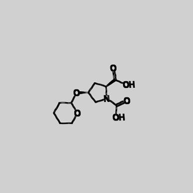 O=C(O)[C@@H]1C[C@H](OC2CCCCO2)CN1C(=O)O